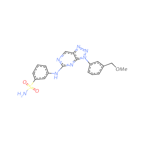 COCc1cccc(-n2nnc3cnc(Nc4cccc(S(N)(=O)=O)c4)nc32)c1